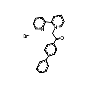 O=C(C[n+]1ccccc1-c1ccccn1)c1ccc(-c2ccccc2)cc1.[Br-]